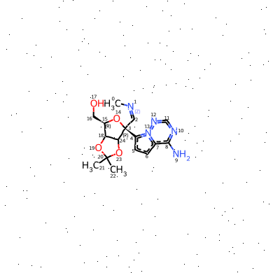 C/N=C\[C@@]1(c2ccc3c(N)ncnn23)O[C@H](CO)C2OC(C)(C)OC21